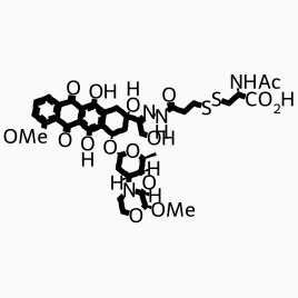 COc1cccc2c1C(=O)c1c(O)c3c(c(O)c1C2=O)C[C@@](O)(/C(CO)=N/NC(=O)CCSSC[C@H](NC(C)=O)C(=O)O)C[C@@H]3O[C@H]1C[C@H]2[C@H](O[C@@H]3[C@@H](OC)OCCN32)[C@H](C)O1